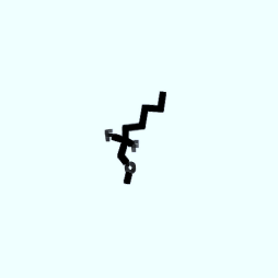 CCCCCC(F)(F)COC